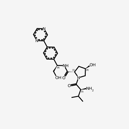 CC(C)[C@H](N)C(=O)N1C[C@H](O)C[C@H]1C(=O)N[C@@H](CO)c1ccc(-c2cnccn2)cc1